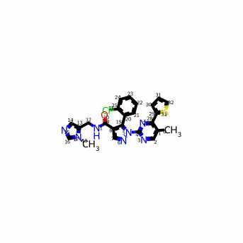 Cc1cnc(-n2ncc(C(=O)NCc3cncn3C)c2-c2ccccc2Cl)nc1-c1cccs1